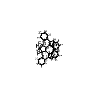 FC1(F)C(c2c(-c3ccccc3)csc2-c2ccccc2)=C(c2c(-c3ccccc3)csc2-c2ccccc2)C(F)(F)C1(F)F